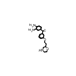 Nc1ccc(C(=O)c2cccc(OCCC3CNCCO3)c2)cc1N